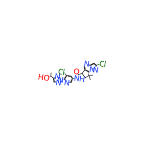 CC(O)c1cnn(-c2ncc(NC(=O)C3CC(C)(C)c4c3cnc3cc(Cl)nn43)cc2Cl)n1